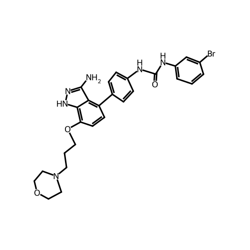 Nc1n[nH]c2c(OCCCN3CCOCC3)ccc(-c3ccc(NC(=O)Nc4cccc(Br)c4)cc3)c12